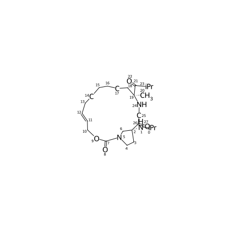 CC(C)N[C@]12CCN(C1)C(=O)OC/C=C/CCCCCC[C@@](C)(C(=O)C(C)C)NCC2=O